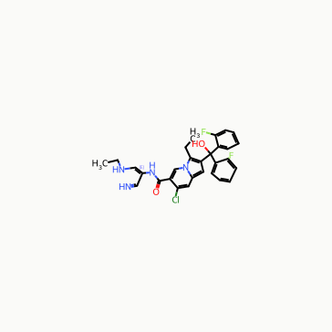 CCN/C=C(\C=N)NC(=O)c1cn2c(CC)c(C(O)(c3ccccc3F)c3ccccc3F)cc2cc1Cl